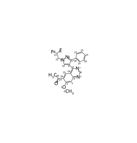 COc1cc2ncnc(-c3cn(CC(F)F)nc3-c3ccccc3)c2cc1C(C)=O